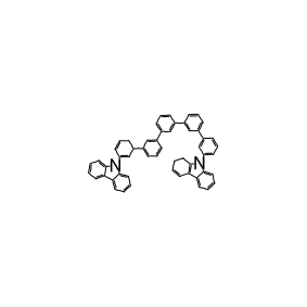 C1=Cc2c(n(-c3cccc(-c4cccc(-c5cccc(-c6cccc(C7C=C(n8c9ccccc9c9ccccc98)C=CC7)c6)c5)c4)c3)c3ccccc23)CC1